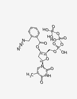 Cc1cn([C@H]2C[C@@H](OC(=O)c3ccccc3CN=[N+]=[N-])[C@@H](COP(=O)(O)OP(=O)(O)OP(=O)(O)O)O2)c(=O)[nH]c1=O